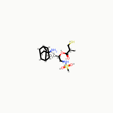 C[C@H](CS)C(=O)O[C@@H](CNS(C)(=O)=O)C(=O)O.NC12CC3CC(CC(C3)C1)C2